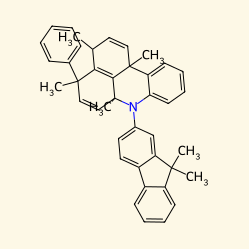 CC1C=CC2(C)C3=C1C(C)(c1ccccc1)C=CC3(C)N(c1ccc3c(c1)C(C)(C)c1ccccc1-3)c1ccccc12